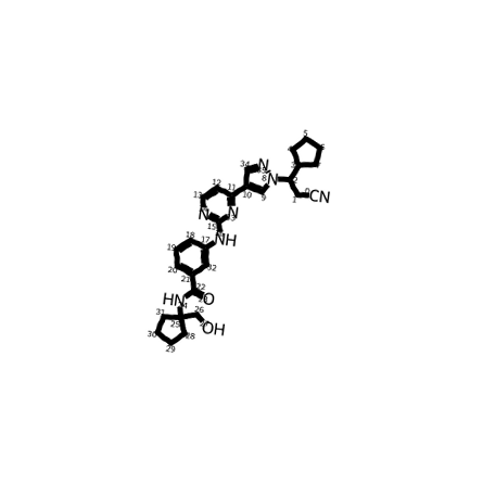 N#CCC(C1CCCC1)n1cc(-c2ccnc(Nc3cccc(C(=O)NC4(CO)CCCC4)c3)n2)cn1